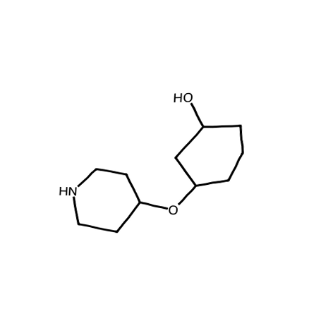 OC1CCCC(OC2CCNCC2)C1